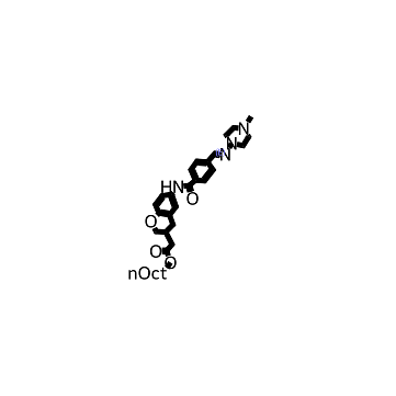 CCCCCCCCOC(=O)CC1COc2ccc(NC(=O)c3ccc(/C=N/N4CCN(C)CC4)cc3)cc2C1